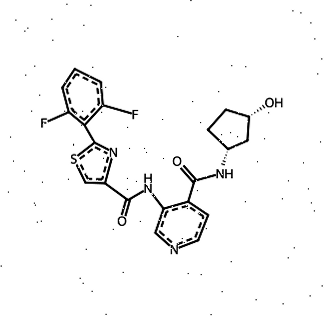 O=C(Nc1cnccc1C(=O)N[C@@H]1CC[C@H](O)C1)c1csc(-c2c(F)cccc2F)n1